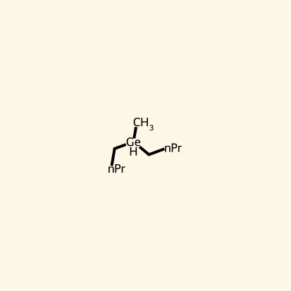 CCC[CH2][GeH]([CH3])[CH2]CCC